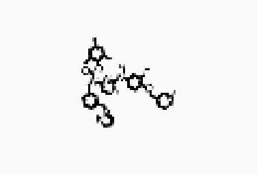 Cc1cc(C)c(OC(=O)N(Cc2cccc(Cn3cccn3)c2)c2ccnc(Nc3ccc(OCC4CCCN(C)C4)c(F)c3)n2)c(C)c1